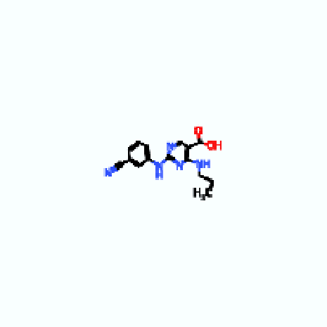 CCCNc1nc(Nc2cccc(C#N)c2)ncc1C(=O)O